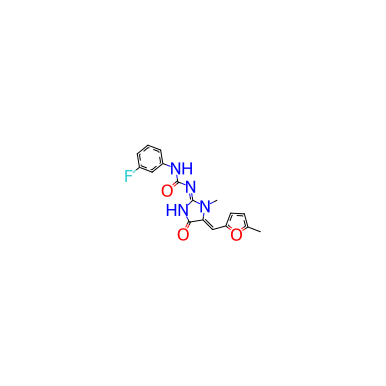 Cc1ccc(/C=C2/C(=O)N/C(=N\C(=O)Nc3cccc(F)c3)N2C)o1